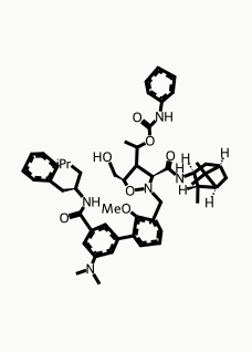 COc1c(CN2O[C@@H](CO)C(C(C)OC(=O)Nc3ccccc3)[C@H]2C(=O)N[C@H]2C[C@H]3C[C@@H]([C@@H]2C)C3(C)C)cccc1-c1cc(C(=O)N[C@@H](Cc2ccccc2)CC(C)C)cc(N(C)C)c1